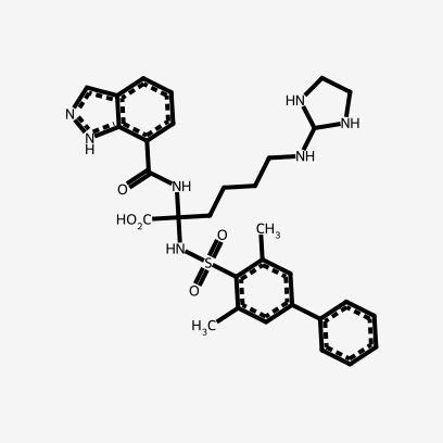 Cc1cc(-c2ccccc2)cc(C)c1S(=O)(=O)NC(CCCCNC1NCCN1)(NC(=O)c1cccc2cn[nH]c12)C(=O)O